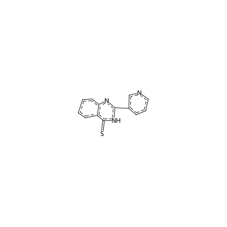 S=c1[nH]c(-c2cccnc2)nc2ccccc12